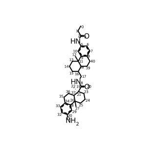 CCC(=O)Nc1ccc2c(c1)C1(C)CCCC(CNC(=O)[C@@]3(C)CCCC4(C)c5cc(N)ccc5CCC43)C1CC2